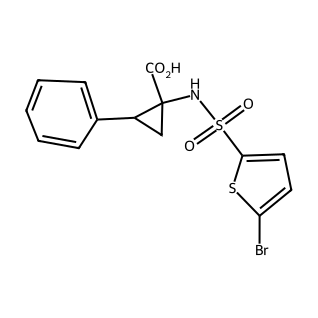 O=C(O)C1(NS(=O)(=O)c2ccc(Br)s2)CC1c1ccccc1